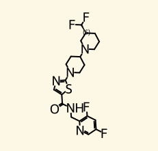 O=C(NCc1ncc(F)cc1F)c1cnc(N2CCC(N3CCC[C@H](C(F)F)C3)CC2)s1